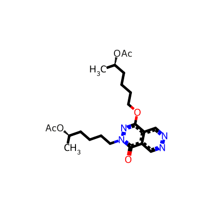 CC(=O)O[C@H](C)CCCCOc1nn(CCCC[C@@H](C)OC(C)=O)c(=O)c2cnncc12